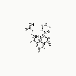 Cc1cc(C(C)NCCC(=O)O)c2nc(N3CCCCC3)cc(=O)n2c1